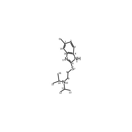 Cc1ccc2[nH]c(SCCN(C(C)C)C(C)C)nc2c1